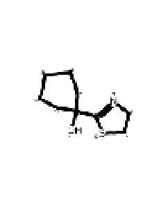 OC1(C2=NCCS2)CCCCC1